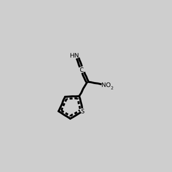 N=C=C(c1cccs1)[N+](=O)[O-]